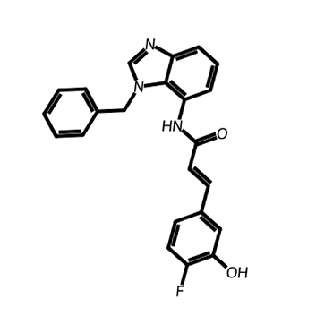 O=C(/C=C/c1ccc(F)c(O)c1)Nc1cccc2ncn(Cc3ccccc3)c12